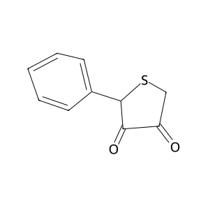 O=C1CSC(c2ccccc2)C1=O